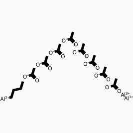 CC(=O)[O-].CC(=O)[O-].CC(=O)[O-].CC(=O)[O-].CC(=O)[O-].CC(=O)[O-].CC(=O)[O-].CC(=O)[O-].CCC[CH2][Al+2].[Al+3].[Al+3]